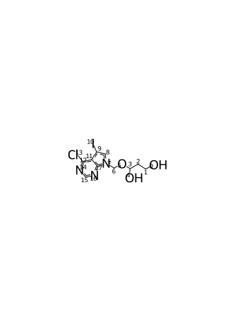 OCCC(O)OCn1cc(I)c2c(Cl)ncnc21